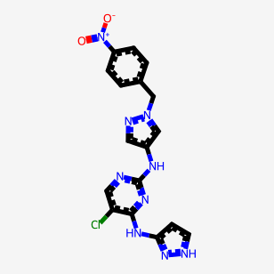 O=[N+]([O-])c1ccc(Cn2cc(Nc3ncc(Cl)c(Nc4cc[nH]n4)n3)cn2)cc1